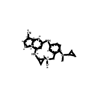 CN(c1ccc(Nc2cc(NC3CC3)n3ncc(C#N)c3n2)cc1C[S+](C)[O-])C1CC1